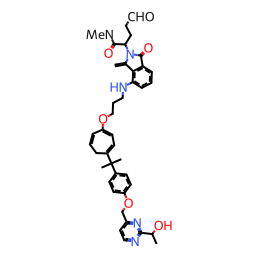 C=C1c2c(NCCCOC3=CC=C(C(C)(C)c4ccc(OCc5ccnc(C(C)O)n5)cc4)CC=C3)cccc2C(=O)N1C(CCC=O)C(=O)NC